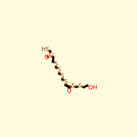 O=C(CSCSCSCSCC[S+]([O-])CS)SCSCCO